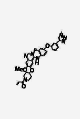 C=CC(=O)N1CCC(Oc2cc3c(Nc4ccc(Oc5cccc(-c6cn(C)nn6)c5)cc4F)ncnc3cc2OC)CC1